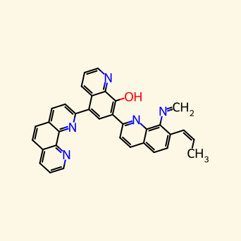 C=Nc1c(/C=C\C)ccc2ccc(-c3cc(-c4ccc5ccc6cccnc6c5n4)c4cccnc4c3O)nc12